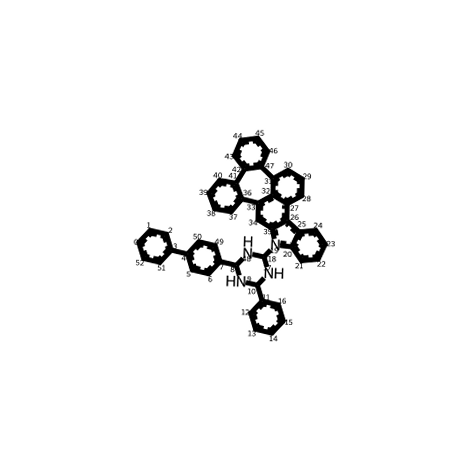 c1ccc(-c2ccc(C3NC(c4ccccc4)NC(n4c5ccccc5c5c6cccc7c6c(cc54)-c4ccccc4-c4ccccc4-7)N3)cc2)cc1